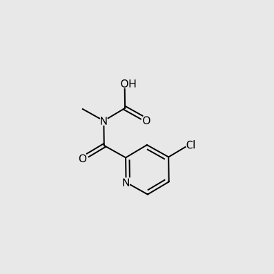 CN(C(=O)O)C(=O)c1cc(Cl)ccn1